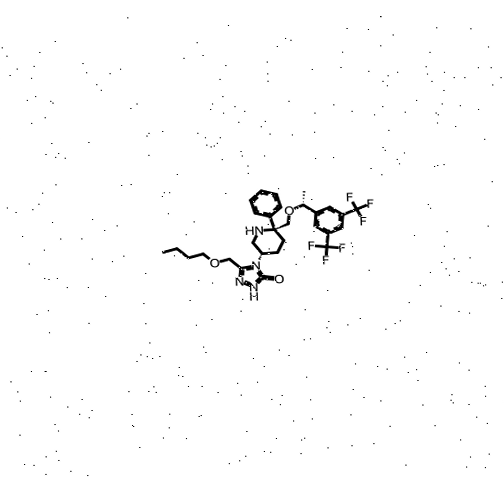 CCCCOCc1n[nH]c(=O)n1[C@H]1CC[C@@](CO[C@H](C)c2cc(C(F)(F)F)cc(C(F)(F)F)c2)(c2ccccc2)NC1